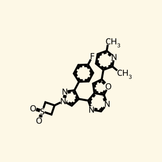 Cc1ccc(-c2cc3c(-c4cn(C5CS(=O)(=O)C5)nc4-c4ccc(F)cc4)ncnc3o2)c(C)n1